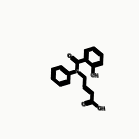 O=C(O)C=CCN(C(=O)c1ccccc1O)c1ccccc1